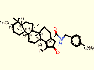 COc1ccc(CNC(=O)[C@@]23CC[C@]4(C)[C@H](CC[C@@H]5[C@@]6(C)CC[C@H](OC(C)=O)C(C)(C)[C@@H]6CC[C@]54C)C2=C(C(C)C)C(=O)C3)cc1